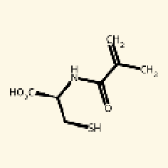 C=C(C)C(=O)N[C@@H](CS)C(=O)O